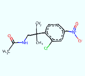 CC(=O)NCC(C)(C)c1ccc([N+](=O)[O-])cc1Cl